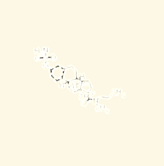 CCCN(C)C(=O)[C@H]1CC[C@H]2[C@@H]3CCc4cc(OS(N)(=O)=O)ccc4[C@H]3CC[C@]12C